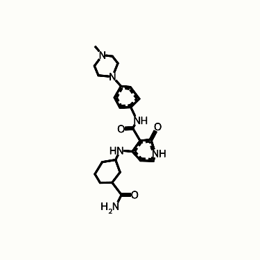 CN1CCN(c2ccc(NC(=O)c3c(NC4CCCC(C(N)=O)C4)cc[nH]c3=O)cc2)CC1